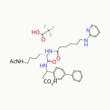 CC(=O)NCCCC[C@H](NC(=O)CCCCCNc1ccccn1)C(=O)NC(CC(=O)O)c1ccc(-c2ccccc2)cc1.O=C(O)C(F)(F)F